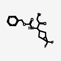 O=C(NC(C(=O)CBr)C1CC2C(C1)C2(F)F)OCc1ccccc1